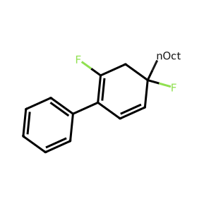 CCCCCCCCC1(F)C=CC(c2ccccc2)=C(F)C1